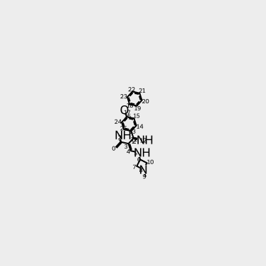 C=C(N)/C(=C/NC1CN(C)C1)C(=N)c1ccc(Oc2ccccc2)cc1